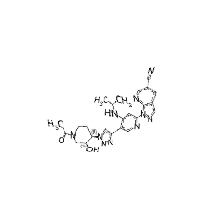 CC(=O)N1CC[C@@H](n2cc(-c3cnc(-n4ncc5cc(C#N)cnc54)cc3NC(C)C)nn2)[C@@H](O)C1